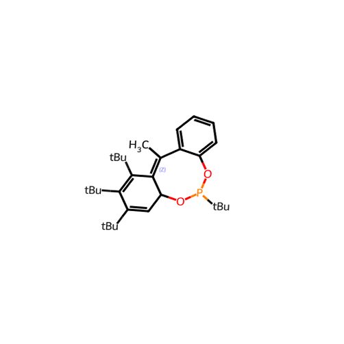 C/C1=C2\C(C(C)(C)C)=C(C(C)(C)C)C(C(C)(C)C)=CC2OP(C(C)(C)C)Oc2ccccc21